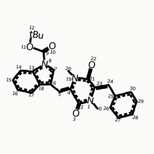 Cn1c(=O)c(=Cc2cn(C(=O)OC(C)(C)C)c3ccccc23)n(C)c(=O)c1=Cc1ccccc1